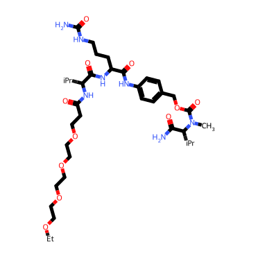 CCOCCOCCOCCOCCC(=O)NC(C(=O)NC(CCCNC(N)=O)C(=O)Nc1ccc(COC(=O)N(C)C(C(N)=O)C(C)C)cc1)C(C)C